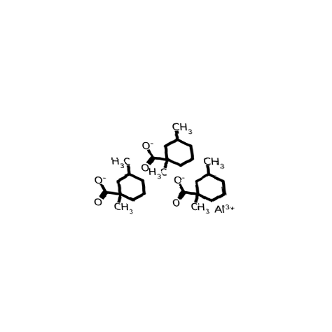 CC1CCCC(C)(C(=O)[O-])C1.CC1CCCC(C)(C(=O)[O-])C1.CC1CCCC(C)(C(=O)[O-])C1.[Al+3]